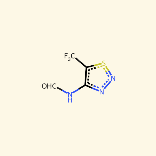 O=[C]Nc1nnsc1C(F)(F)F